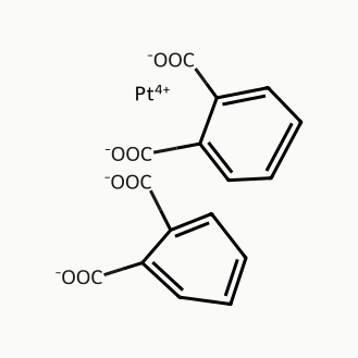 O=C([O-])c1ccccc1C(=O)[O-].O=C([O-])c1ccccc1C(=O)[O-].[Pt+4]